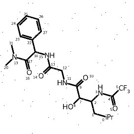 CC(C)CC(NC(=O)C(F)(F)F)C(O)C(=O)NCC(=O)NC(C(=O)N(C)C)c1ccccc1